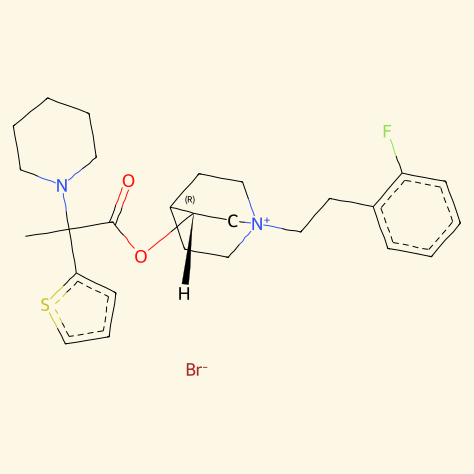 CC(C(=O)O[C@H]1C[N+]2(CCc3ccccc3F)CCC1CC2)(c1cccs1)N1CCCCC1.[Br-]